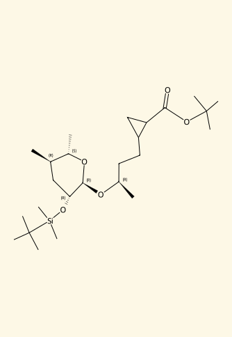 C[C@H](CCC1CC1C(=O)OC(C)(C)C)O[C@@H]1O[C@@H](C)[C@H](C)C[C@H]1O[Si](C)(C)C(C)(C)C